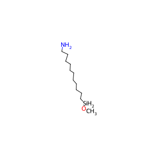 CO[SiH2]CCCCCCCCCCCN